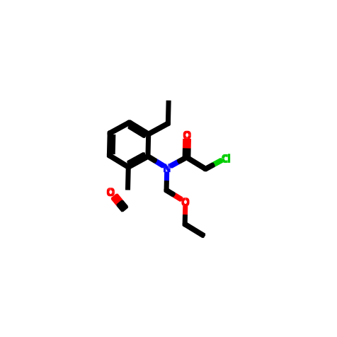 C=O.CCOCN(C(=O)CCl)c1c(C)cccc1CC